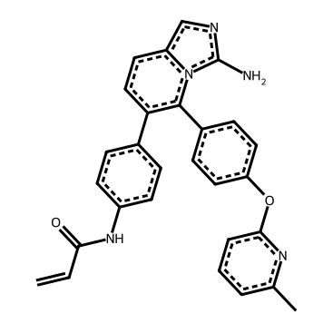 C=CC(=O)Nc1ccc(-c2ccc3cnc(N)n3c2-c2ccc(Oc3cccc(C)n3)cc2)cc1